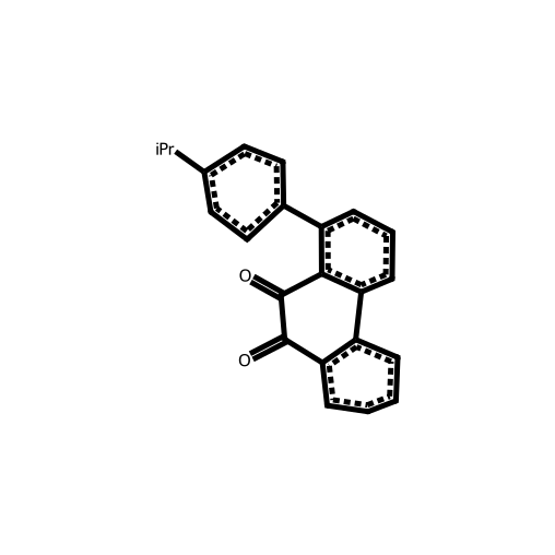 CC(C)c1ccc(-c2cccc3c2C(=O)C(=O)c2ccccc2-3)cc1